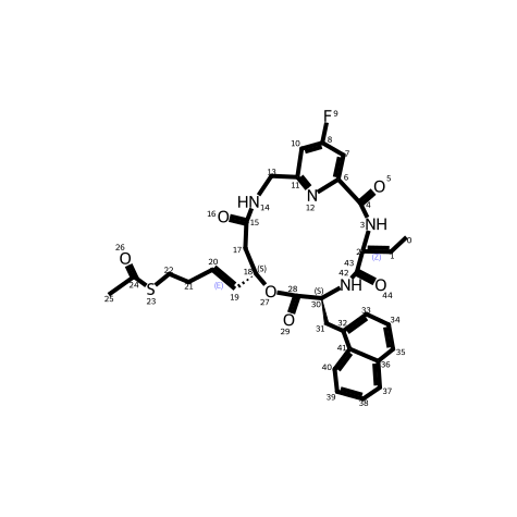 C/C=C1\NC(=O)c2cc(F)cc(n2)CNC(=O)C[C@@H](/C=C/CCSC(C)=O)OC(=O)[C@H](Cc2cccc3ccccc23)NC1=O